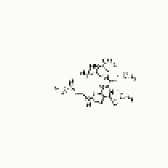 CCCC(c1nc2cc(NCCNC)ccc2c(=O)n1CC)N1C[C@@H](C)N[C@@H](C)C1